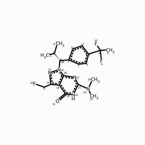 CC(C)[C@H](c1ccc(C(C)(F)F)cc1)n1nc(CF)c2c(=O)[nH]c(N(C)C)nc21